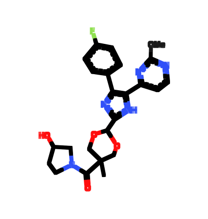 COc1nccc(-c2[nH]c(C3OCC(C)(C(=O)N4CCC(O)C4)CO3)nc2-c2ccc(F)cc2)n1